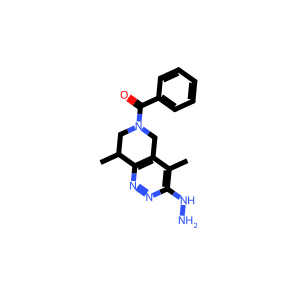 Cc1c(NN)nnc2c1CN(C(=O)c1ccccc1)CC2C